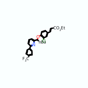 CCCCC(Oc1ccc(/C=C/C(=O)OCC)cc1Cl)c1cccc(-c2ccc(C(F)(F)F)cc2)n1